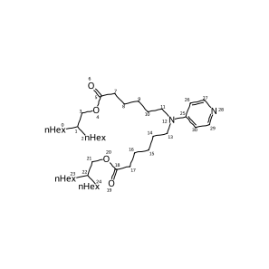 CCCCCCC(CCCCCC)COC(=O)CCCCCN(CCCCCC(=O)OCC(CCCCCC)CCCCCC)c1ccncc1